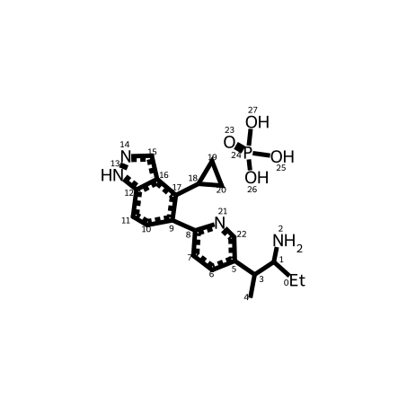 CCC(N)C(C)c1ccc(-c2ccc3[nH]ncc3c2C2CC2)nc1.O=P(O)(O)O